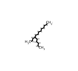 [CH2]CCCCCCCCC(CCC)CCCCC